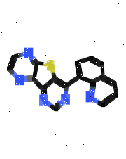 c1cnc2c(-c3ncnc4c3sc3nccnc34)cccc2c1